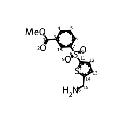 COC(=O)c1cccc(S(=O)(=O)c2ccc(CN)s2)c1